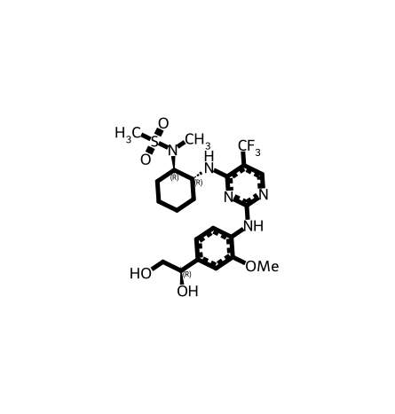 COc1cc([C@@H](O)CO)ccc1Nc1ncc(C(F)(F)F)c(N[C@@H]2CCCC[C@H]2N(C)S(C)(=O)=O)n1